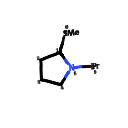 CSC1CCCN1C(C)C